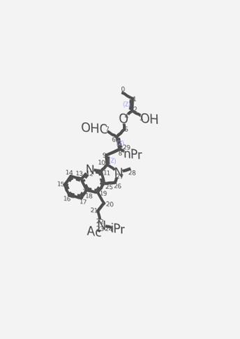 C/C=C(/O)OC/C(C=O)=C(/C=C1/c2nc3ccccc3c(CCN(C(C)=O)C(C)C)c2CN1C)CCC